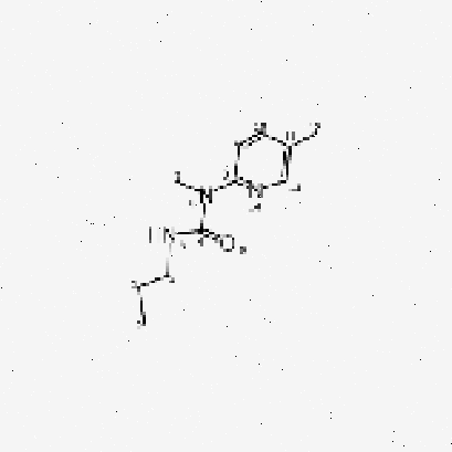 CCCNC(=O)N(C)c1ccc(C)cn1